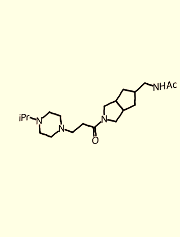 CC(=O)NCC1CC2CN(C(=O)CCN3CCN(C(C)C)CC3)CC2C1